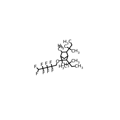 CCC(C)(C)C1C(C)C2CC1C(C(C)(C)CC)C2(C)OCC(F)(F)C(F)(F)C(F)(F)C(F)F